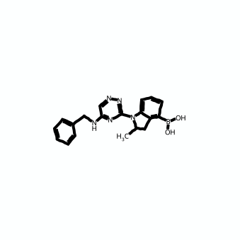 CC1Cc2c(B(O)O)cccc2N1c1nncc(NCc2ccccc2)n1